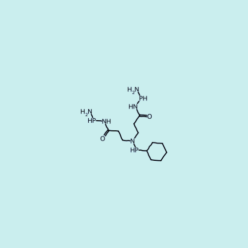 NPNC(=O)CCN(CCC(=O)NPN)PC1CCCCC1